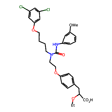 CCOC(Cc1ccc(OCCN(CCCCOc2cc(Cl)cc(Cl)c2)C(=O)Nc2cccc(OC)c2)cc1)C(=O)O